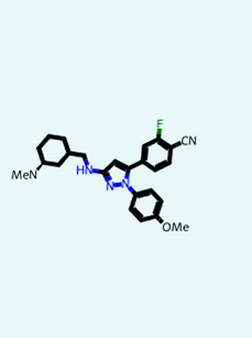 CN[C@H]1CCCC(CNc2cc(-c3ccc(C#N)c(F)c3)n(-c3ccc(OC)cc3)n2)C1